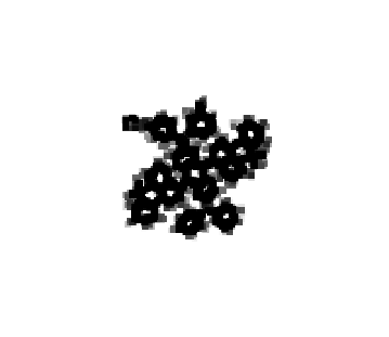 Cc1cccc(N(c2ccc(C(C)(C)C)cc2)c2ccc3c(-c4ccc5c6c(cccc46)C(C)(C)c4ccccc4-5)c4cc(N(c5ccccc5)c5ccccc5)ccc4c(-c4ccc5c6c(cccc46)C(C)(C)c4ccccc4-5)c3c2)c1